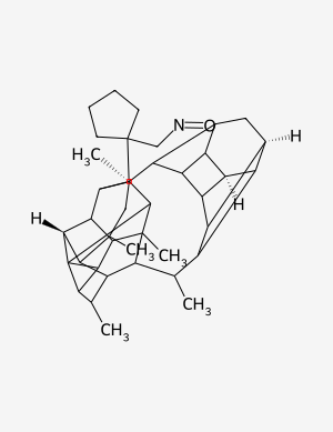 CC1CC2C3C4(C)C5C(C)C6C7C8C9C%10C(C[C@H]7C6[C@H]%108)C9[C@](C)(C6(CN=O)CCCC6)C2C2C4C4C6C(C)C5C1[C@@H]2C643